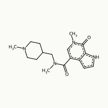 CN1CCC(CN(C)C(=O)c2cn(C)c(=O)c3[nH]ccc23)CC1